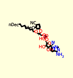 C=NC[C@@]1(C2CC=C3C(N)=NC=NN32)O[C@H](COP(=O)(O)OC[C@@H](COCCCCCCCCCCCCCCCCCC)Oc2ccc(C#N)c(OC)c2)[C@@H](O)[C@H]1O